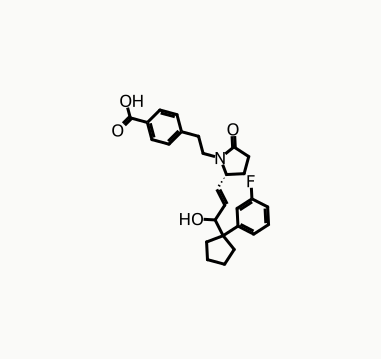 O=C(O)c1ccc(CCN2C(=O)CC[C@@H]2C=CC(O)C2(c3cccc(F)c3)CCCC2)cc1